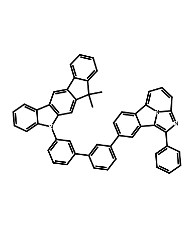 CC1(C)c2ccccc2-c2cc3c4ccccc4n(-c4cccc(-c5cccc(-c6ccc7c(c6)c6c(-c8ccccc8)nc8cccc7n86)c5)c4)c3cc21